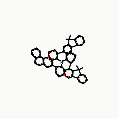 CC1(C)c2ccccc2-c2ccc(-c3ccccc3N(c3ccccc3-c3ccc4c(ccc5ccccc54)c3)c3ccccc3-c3cccc4c3C(C)(C)c3ccccc3-4)cc21